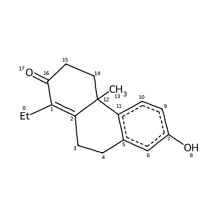 CCC1=C2CCc3cc(O)ccc3C2(C)CCC1=O